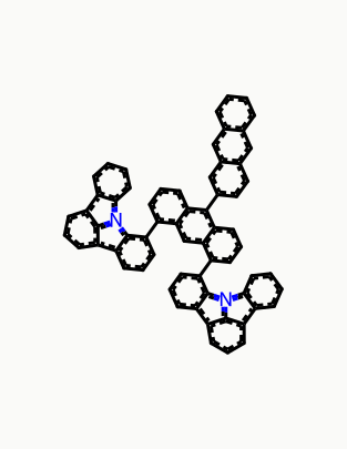 c1ccc2cc3cc(-c4c5cccc(-c6cccc7c8cccc9c%10ccccc%10n(c67)c98)c5cc5c(-c6cccc7c8cccc9c%10ccccc%10n(c67)c98)cccc45)ccc3cc2c1